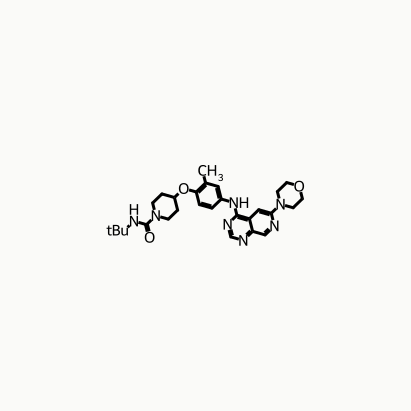 Cc1cc(Nc2ncnc3cnc(N4CCOCC4)cc23)ccc1OC1CCN(C(=O)NC(C)(C)C)CC1